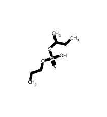 CCCOP(O)(=S)SC(C)CC